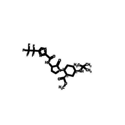 COC(=O)[C@@H]1C[C@H](NC(C)(C)C)CC[C@@H]1N1CCC(NC(=O)c2nc(C(F)(F)C(F)(F)F)cs2)C1=O